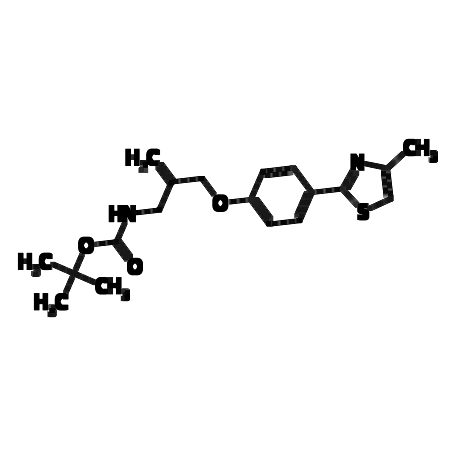 C=C(CNC(=O)OC(C)(C)C)COc1ccc(-c2nc(C)cs2)cc1